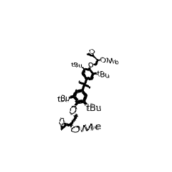 COC(COc1c(C(C)(C)C)cc(C(C)(C)c2cc(C(C)(C)C)c(OCC(OC)C3CO3)c(C(C)(C)C)c2)cc1C(C)(C)C)C1CO1